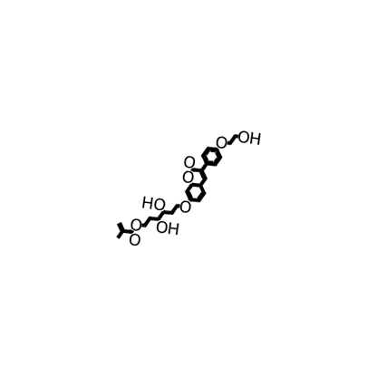 C=C(C)C(=O)OCCC(O)C(O)CCOC1=CC2OC(=O)C(c3ccc(OCCO)cc3)=CC2C=C1